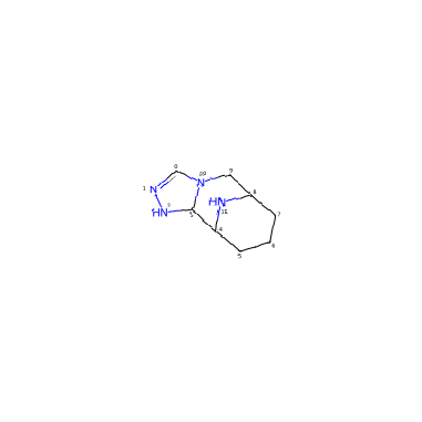 C1=NNC2C3CCCC(CN12)N3